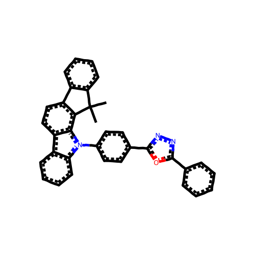 CC1(C)c2ccccc2-c2ccc3c4ccccc4n(-c4ccc(-c5nnc(-c6ccccc6)o5)cc4)c3c21